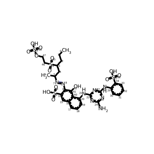 CCCC(CC(C)/N=N/c1c(S(=O)(=O)O)cc2cccc(Nc3nc(N)nc(Nc4ccccc4S(=O)(=O)O)n3)c2c1O)S(=O)(=O)CCOS(=O)(=O)O